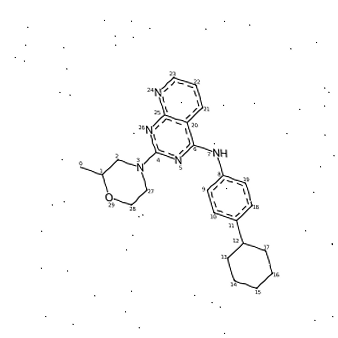 CC1CN(c2nc(Nc3ccc(C4CCCCC4)cc3)c3cccnc3n2)CCO1